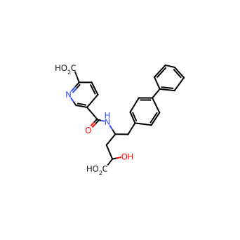 O=C(NC(Cc1ccc(-c2ccccc2)cc1)CC(O)C(=O)O)c1ccc(C(=O)O)nc1